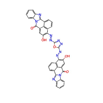 O=c1c2cc(O)c(N=Nc3nnc(N=Nc4c(O)cc5c(=O)n6c7ccccc7nc6c6cccc4c56)o3)c3cccc(c32)c2nc3ccccc3n12